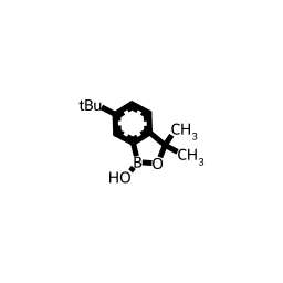 CC(C)(C)c1ccc2c(c1)B(O)OC2(C)C